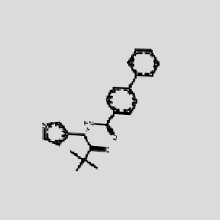 CC(C)(C)C(=O)[C@@H](NC(=O)c1ccc(-c2ccccc2)cc1)c1ccsc1